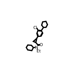 CCN(C(=O)C1CC1c1ccc(C2CCCCC2)c(Cl)c1)C1CCCCC1